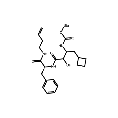 C=CCCNC(=O)[C@H](Cc1ccccc1)NC(=O)C(O)C(CC1CCC1)NC(=O)OC(C)(C)C